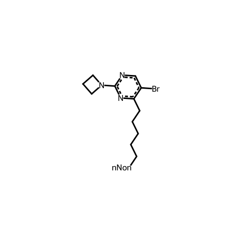 CCCCCCCCCCCCCCc1nc(N2CCC2)ncc1Br